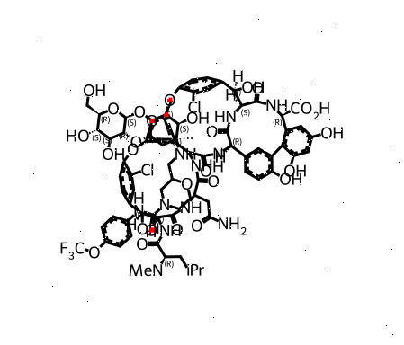 CN[C@H](CC(C)C)C(=O)N[C@H]1C(=O)NC(CC(N)=O)C(=O)NC2C(=O)N[C@H]3C(=O)N[C@H](C(=O)N[C@@H](C(=O)O)c4cc(O)cc(O)c4-c4cc3ccc4O)[C@H](O)c3ccc(c(Cl)c3)Oc3cc2cc(c3O[C@@H]2O[C@H](CO)[C@@H](O)[C@H](O)[C@H]2O[C@H]2C[C@](C)(NCC3CN(C(=O)Nc4ccc(OC(F)(F)F)cc4)CCO3)[C@H](O)[C@H](C)O2)Oc2ccc(cc2Cl)[C@H]1O